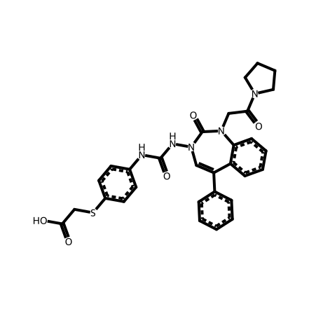 O=C(O)CSc1ccc(NC(=O)NN2C=C(c3ccccc3)c3ccccc3N(CC(=O)N3CCCC3)C2=O)cc1